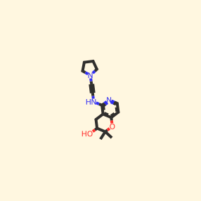 CC1(C)Oc2ccnc(NC#CN3CCCC3)c2CC1O